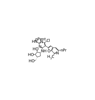 CCCCCNc1nc(Cl)c(-c2cc3cc(CCC)nc(C)c3o2)c(N[C@@H]2C[C@H](CO)[C@@H](O)[C@H]2O)n1